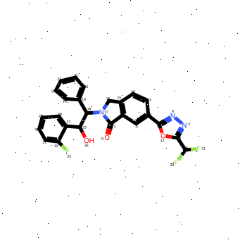 O=C1c2cc(-c3nnc(C(F)F)o3)ccc2CN1C(c1ccccc1)C(O)c1ccccc1F